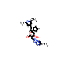 Cc1cnc2nc(CC3=C(O)CC(CCc4cc(C)nc(C)c4)(C4CCCC4)OC3=O)nn2c1